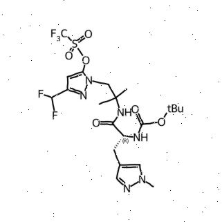 Cn1cc(C[C@@H](NC(=O)OC(C)(C)C)C(=O)NC(C)(C)Cn2nc(C(F)F)cc2OS(=O)(=O)C(F)(F)F)cn1